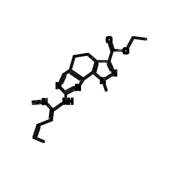 C=N/C(=C\C=C/C)Nc1ncc2c(n1)-c1c(c(C(=O)OCC)nn1C)CC2